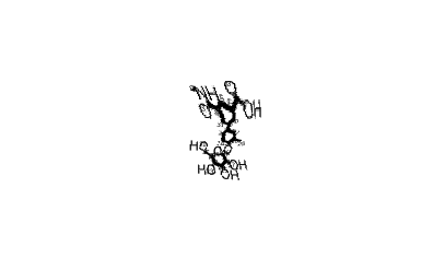 CNC(=O)c1cc(C(=O)O)cc(-c2ccc(O[C@H]3O[C@H](CO)[C@@H](O)[C@H](O)[C@@H]3O)c(C)c2)c1